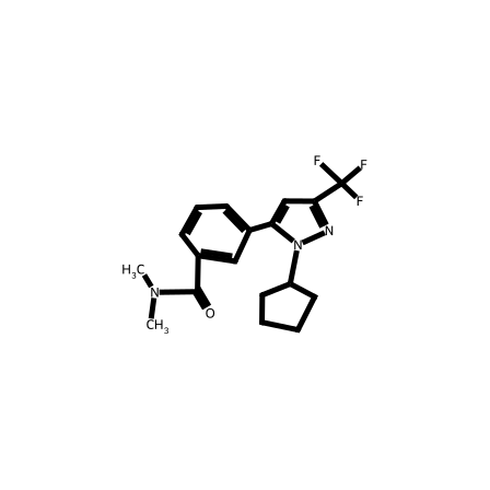 CN(C)C(=O)c1cccc(-c2cc(C(F)(F)F)nn2C2CCCC2)c1